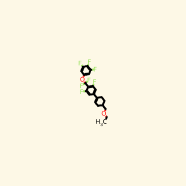 CCOCC1CC=C(c2cc(F)c(C(F)(F)Oc3cc(F)c(F)c(F)c3)c(F)c2)CC1